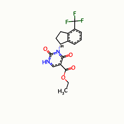 CCOC(=O)c1c[nH]c(=O)n([C@@H]2CCc3c2cccc3C(F)(F)F)c1=O